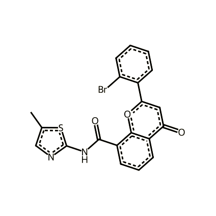 Cc1cnc(NC(=O)c2cccc3c(=O)cc(-c4ccccc4Br)oc23)s1